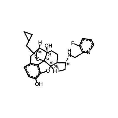 Oc1ccc2c3c1O[C@H]1[C@@]4(CC[C@H]4NCc4ncccc4F)CC[C@@]4(O)[C@@H](C2)N(CC2CC2)CC[C@]314